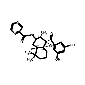 C[C@@H]1C(NC(=O)c2cnccn2)C[C@H]2C(C)(C)CCC[C@]2(C)[C@H]1C(=O)c1cc(O)cc(O)c1